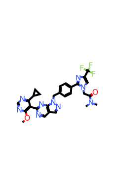 COc1ncnc(C2CC2)c1-c1ncc2cnn(Cc3ccc(-c4nc(C(F)(F)F)cn4CC(=O)N(C)C)cc3)c2n1